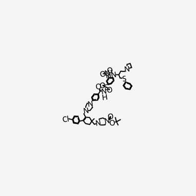 CC1(CN2CCN(C(=O)OC(C)(C)C)CC2)CCC(c2ccc(Cl)cc2)=C(CN2CCN(c3ccc(C(=O)NS(=O)(=O)c4ccc(NC(CCN5CCC5)CSc5ccccc5)c([N+](=O)[O-])c4)cc3)CC2)C1